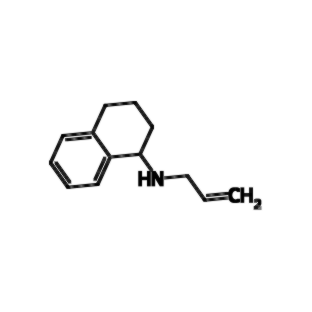 C=CCNC1CCCc2ccccc21